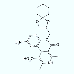 CC1=C(C(=O)O)C(c2cccc([N+](=O)[O-])c2)C(C(=O)OCC2COC3(CCCCC3)O2)=C(C)N1